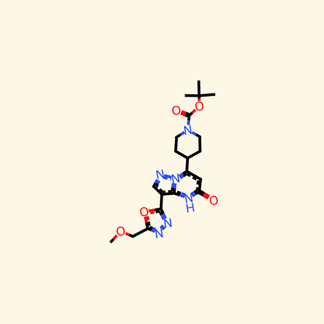 COCc1nnc(-c2cnn3c(C4CCN(C(=O)OC(C)(C)C)CC4)cc(=O)[nH]c23)o1